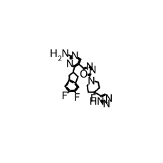 Nc1ncc(-c2nnc(N3CCC(F)(c4cnn[nH]4)CC3)o2)c(C2Cc3cc(F)c(F)cc3C2)n1